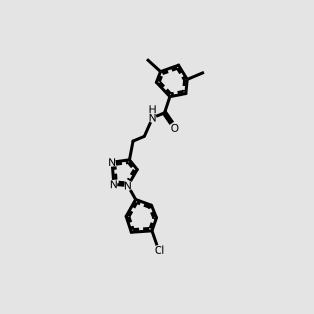 Cc1cc(C)cc(C(=O)NCCc2cn(-c3ccc(Cl)cc3)nn2)c1